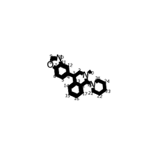 CN1CC(c2ccc3ocnc3c2)c2ccccc2C1N1CCCCC1